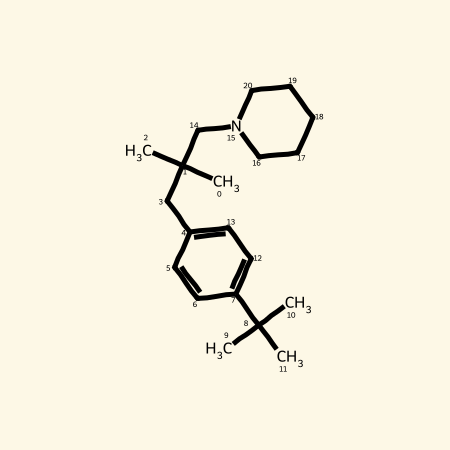 CC(C)(Cc1ccc(C(C)(C)C)cc1)CN1CCCCC1